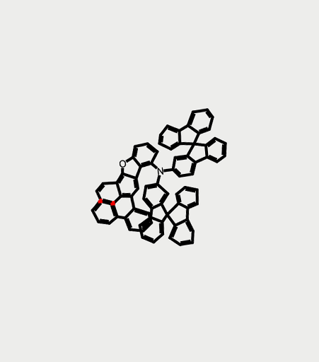 c1ccc(-c2ccccc2-c2cc3c(oc4cccc(N(c5ccc6c(c5)C5(c7ccccc7-c7ccccc75)c5ccccc5-6)c5ccc6c(c5)C5(c7ccccc7-c7ccccc75)c5ccccc5-6)c43)c3ccccc23)cc1